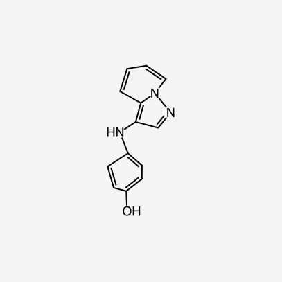 Oc1ccc(Nc2cnn3ccccc23)cc1